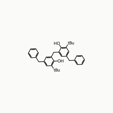 CC(C)(C)c1cc(Cc2ccccc2)cc(Cc2cc(Cc3ccccc3)cc(C(C)(C)C)c2O)c1O